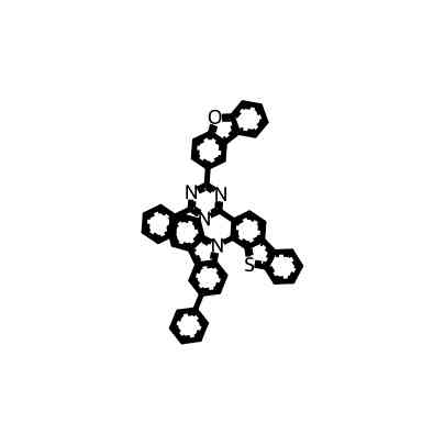 c1ccc(-c2ccc3c(c2)c2ccccc2n3-c2c(-c3nc(-c4ccccc4)nc(-c4ccc5oc6ccccc6c5c4)n3)ccc3c2sc2ccccc23)cc1